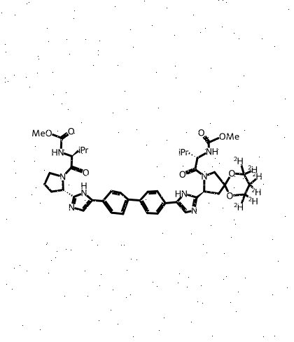 [2H]C1([2H])OC2(C[C@@H](c3ncc(-c4ccc(-c5ccc(-c6cnc([C@@H]7CCCN7C(=O)[C@@H](NC(=O)OC)C(C)C)[nH]6)cc5)cc4)[nH]3)N(C(=O)[C@@H](NC(=O)OC)C(C)C)C2)OC([2H])([2H])C1([2H])[2H]